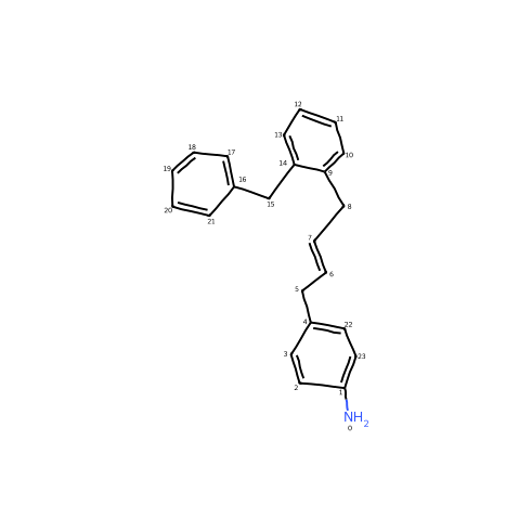 Nc1ccc(CC=CCc2ccccc2Cc2ccccc2)cc1